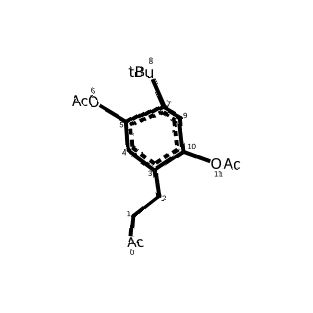 CC(=O)CCc1cc(OC(C)=O)c(C(C)(C)C)cc1OC(C)=O